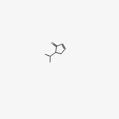 CN(C)C1CC=CC1=O